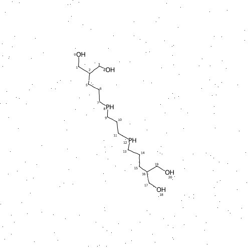 OCC(CO)CCCPCCCPCCCC(CO)CO